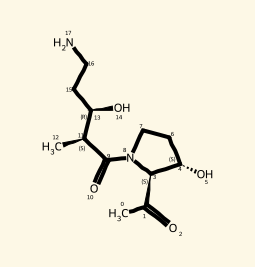 CC(=O)[C@@H]1[C@@H](O)CCN1C(=O)[C@@H](C)[C@H](O)CCN